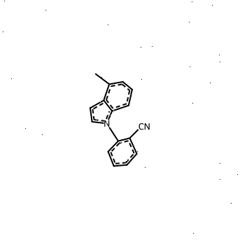 Cc1cccc2c1ccn2-c1ccccc1C#N